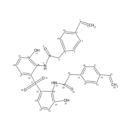 C=Cc1ccc(CC(=O)Nc2c(O)cccc2S(=O)(=O)c2cccc(O)c2NC(=O)Cc2ccc(C=C)cc2)cc1